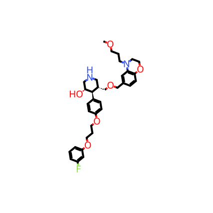 COCCCN1CCOc2ccc(COC[C@H]3CNC[C@@H](O)[C@@H]3c3ccc(OCCCOc4cccc(F)c4)cc3)cc21